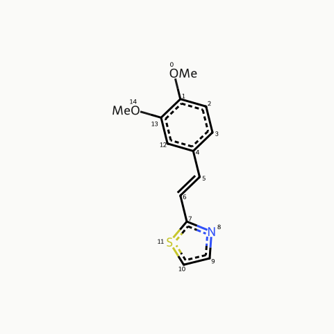 COc1ccc(C=Cc2nccs2)cc1OC